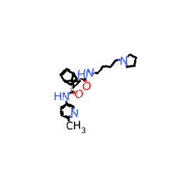 Cc1ccc(NC(=O)[C@@H]2C3C=CC([C@H]2C(=O)NCCCCN2CCCC2)C32CC2)cn1